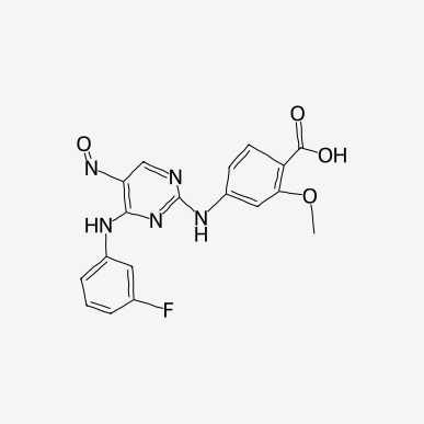 COc1cc(Nc2ncc(N=O)c(Nc3cccc(F)c3)n2)ccc1C(=O)O